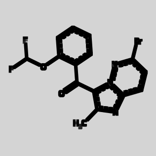 Cc1nc2ccc(Br)nn2c1C(=O)c1ccccc1OC(F)F